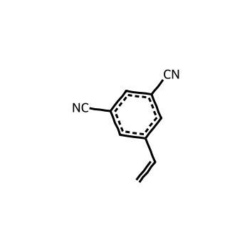 C=Cc1cc(C#N)cc(C#N)c1